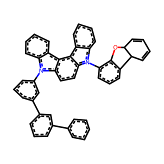 C1=CC2Oc3c(cccc3-n3c4ccccc4c4c5c6ccccc6n(-c6cccc(-c7cccc(-c8ccccc8)c7)c6)c5ccc43)C2C=C1